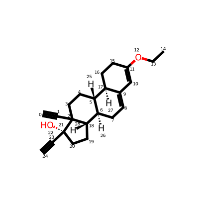 C#CC12CC[C@H]3[C@@H](CC=C4C=C(OCC)CC[C@@H]43)[C@@H]1CC[C@@]2(O)C#C